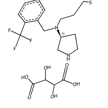 CSCCCN(Cc1ccccc1C(F)(F)F)[C@H]1CCNC1.O=C(O)C(O)C(O)C(=O)O